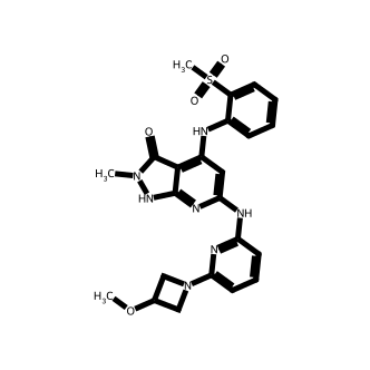 COC1CN(c2cccc(Nc3cc(Nc4ccccc4S(C)(=O)=O)c4c(=O)n(C)[nH]c4n3)n2)C1